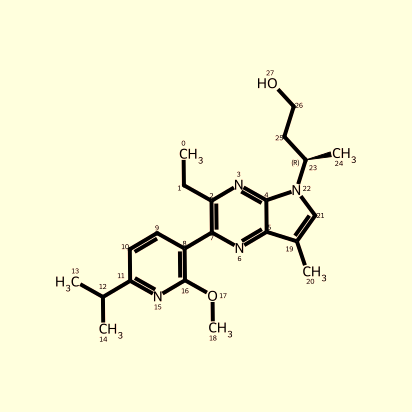 CCc1nc2c(nc1-c1ccc(C(C)C)nc1OC)c(C)cn2[C@H](C)CCO